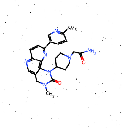 CSc1ccc(-c2ccc3ncc4c(c3n2)N(C2CCN(CC(N)=O)CC2)C(=O)N(C)C4)cn1